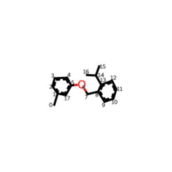 Cc1cccc(OCc2ccccc2C(C)C)c1